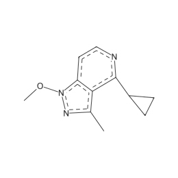 COn1nc(C)c2c(C3CC3)nccc21